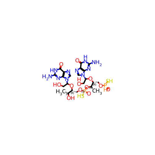 C[C@@H](O)[C@@H](CO[P@](=O)(S)O[C@H](C)[C@@H](CO[PH](=O)S)OC(CO)n1cnc2c(=O)[nH]c(N)nc21)OC(CO)n1cnc2c(=O)[nH]c(N)nc21